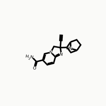 C#CC1(C2CC3CCC2N3)CN2C=C(C(N)=O)C=CC2=N1